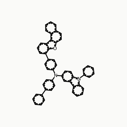 c1ccc(-c2ccc(N(c3ccc(-c4cccc5c4oc4ccc6ccccc6c45)cc3)c3ccc4c(c3)c3ccccc3n4-c3ccccc3)cc2)cc1